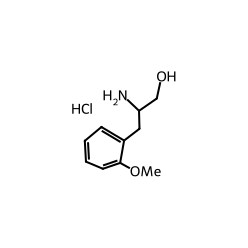 COc1ccccc1CC(N)CO.Cl